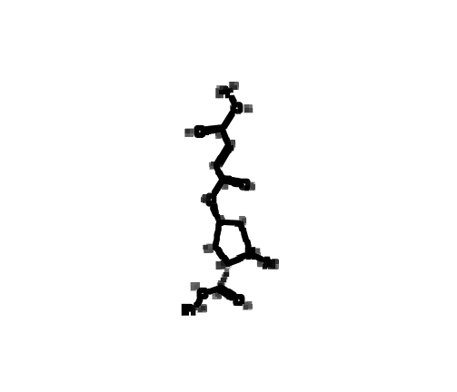 CC(=O)N1C[C@H](OC(=O)/C=C/C(=O)OC(C)C)C[C@H]1C(=O)OC(C)C